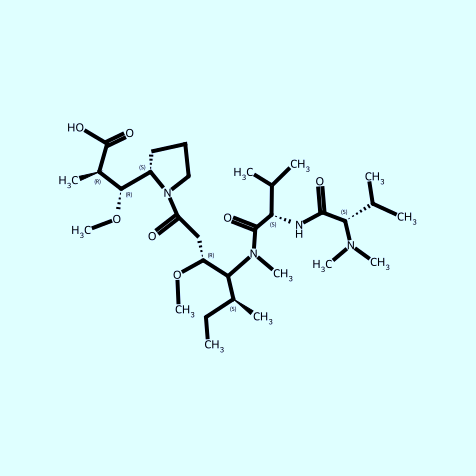 CC[C@H](C)C([C@@H](CC(=O)N1CCC[C@H]1[C@H](OC)[C@@H](C)C(=O)O)OC)N(C)C(=O)[C@@H](NC(=O)[C@H](C(C)C)N(C)C)C(C)C